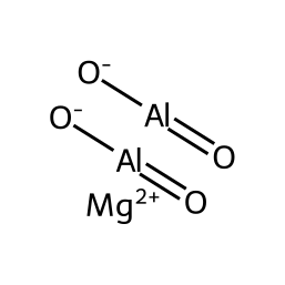 [Mg+2].[O]=[Al][O-].[O]=[Al][O-]